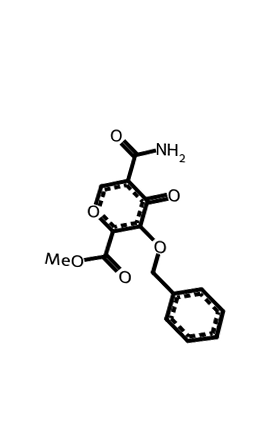 COC(=O)c1occ(C(N)=O)c(=O)c1OCc1ccccc1